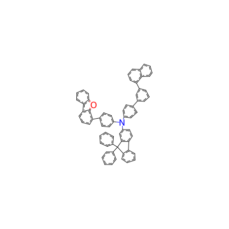 c1ccc(C2(c3ccccc3)c3ccccc3-c3ccc(N(c4ccc(-c5cccc(-c6cccc7ccccc67)c5)cc4)c4ccc(-c5cccc6c5oc5ccccc56)cc4)cc32)cc1